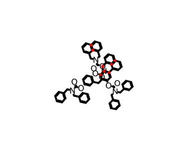 O=C(Oc1ccc(OC(=O)N(Cc2ccccc2)Cc2ccccc2)c(Cc2cc(OC(=O)N(Cc3ccccc3)Cc3ccccc3)ccc2OC(=O)N(Cc2ccccc2)Cc2ccccc2)c1)N(Cc1ccccc1)Cc1ccccc1